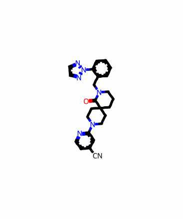 N#Cc1ccnc(N2CCC3(CCCN(Cc4ccccc4-n4nccn4)C3=O)CC2)c1